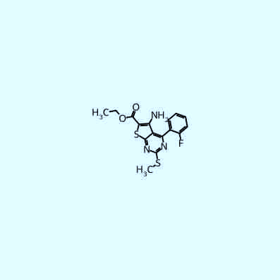 CCOC(=O)c1sc2nc(SC)nc(-c3ccccc3F)c2c1N